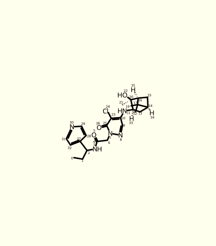 CCC(NC(=O)Cn1ncc(N[C@@H]2C[C@@H]3C[C@@H](C3(C)C)[C@]2(C)O)c(Cl)c1=O)c1ccncc1